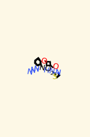 [N-]=[N+]=Nc1cccc(OC2CC(C(=O)Nc3nccs3)C2)c1[N+](=O)[O-]